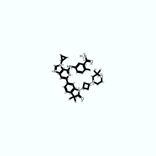 Cc1ccc(Nc2nc(-c3ccc4c(c3)N([C@H]3C[C@@H](N5CCOC(C)(C)C5)C3)C(=O)C4(C)C)cc3ncn(C4CC4)c23)cc1C(N)=O